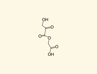 O=C(O)COC(=O)C(=O)CO